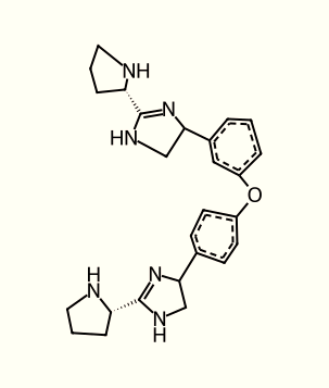 c1cc(Oc2ccc(C3CNC([C@@H]4CCCN4)=N3)cc2)cc(C2CNC([C@@H]3CCCN3)=N2)c1